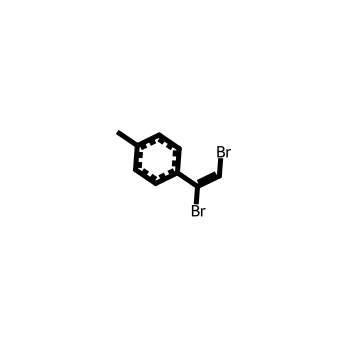 Cc1ccc(/C(Br)=C\Br)cc1